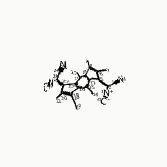 [C-]#[N+]/C(C#N)=C1/C(C)=C(C)c2c(C)c3c(c(C)c21)C(C)=C(C)/C3=C(/C#N)[N+]#[C-]